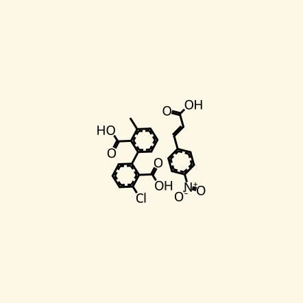 Cc1cccc(-c2cccc(Cl)c2C(=O)O)c1C(=O)O.O=C(O)C=Cc1ccc([N+](=O)[O-])cc1